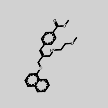 COCCNCC(=Cc1ccc(C(=O)OC)cc1)COc1cccc2ccccc12